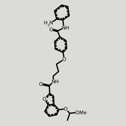 COC(C)Oc1cccc2oc(C(=O)NCCCOc3ccc(C(=O)Nc4ccccc4N)cc3)cc12